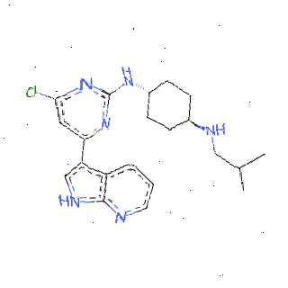 CC(C)CN[C@H]1CC[C@H](Nc2nc(Cl)cc(-c3c[nH]c4ncccc34)n2)CC1